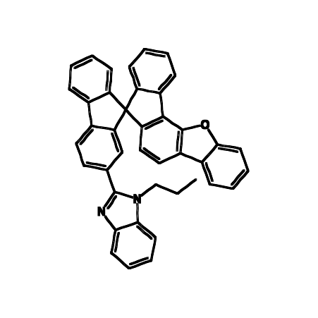 CCCn1c(-c2ccc3c(c2)C2(c4ccccc4-3)c3ccccc3-c3c2ccc2c3oc3ccccc32)nc2ccccc21